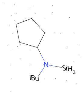 CCC(C)N([SiH3])C1CCCC1